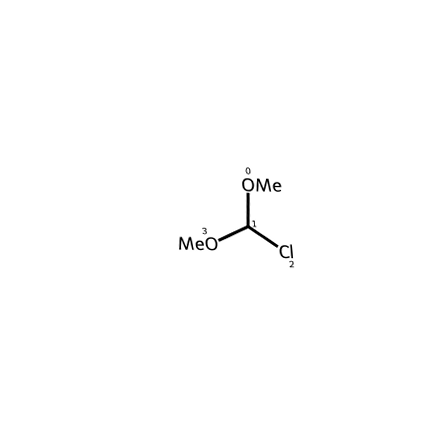 COC(Cl)OC